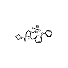 CCS(=O)(=O)N[C@@H]1CCN(C(=O)N2CCC2)[C@@H]1Cc1cccc(Oc2ccccc2)c1